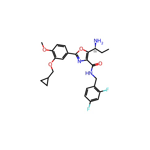 CC[C@H](N)c1oc(-c2ccc(OC)c(OCC3CC3)c2)nc1C(=O)NCc1ccc(F)cc1F